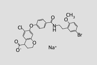 COc1ccc(Br)cc1CCNC(=O)c1ccc(Oc2cc3c(cc2Cl)C(C(=O)[O-])CCO3)cc1.[Na+]